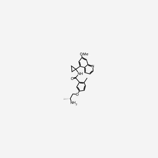 COc1cc(C2(NC(=O)c3cc(OC[C@@H](C)N)ccc3C)CC2)c2cccnc2c1